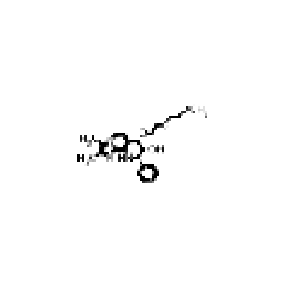 COCCOCCO[C@H]1c2ccn3c(C)c(C)nc3c2N[C@H](c2ccccc2)[C@H]1O